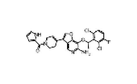 C[C@@H](Oc1c(N)ncc2c(C3=CCN(C(=O)c4ccc[nH]4)CC3)coc12)c1c(Cl)ccc(F)c1Cl